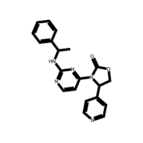 CC(Nc1nccc(N2C(=O)OCC2c2ccncc2)n1)c1ccccc1